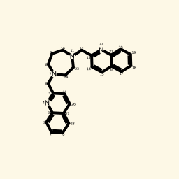 c1ccc2nc(CN3CCCN(Cc4ccc5ccccc5n4)CC3)ccc2c1